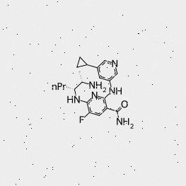 CCC[C@@H](Nc1nc(Nc2cncc(C3CC3)c2)c(C(N)=O)cc1F)[C@H](C)N